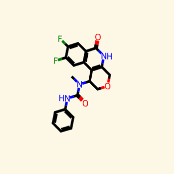 CN(C(=O)Nc1ccccc1)C1COCc2[nH]c(=O)c3cc(F)c(F)cc3c21